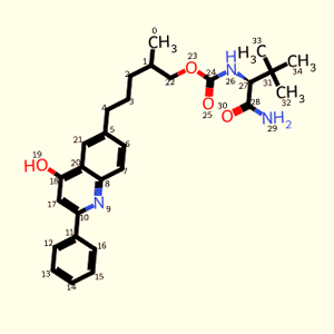 CC(CCCc1ccc2nc(-c3ccccc3)cc(O)c2c1)COC(=O)N[C@H](C(N)=O)C(C)(C)C